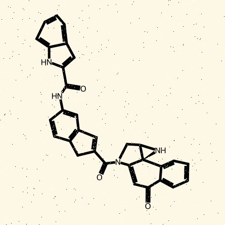 O=C(Nc1ccc2c(c1)C=C(C(=O)N1CC3N[C@@]34C1=CC(=O)c1ccccc14)C2)c1cc2ccccc2[nH]1